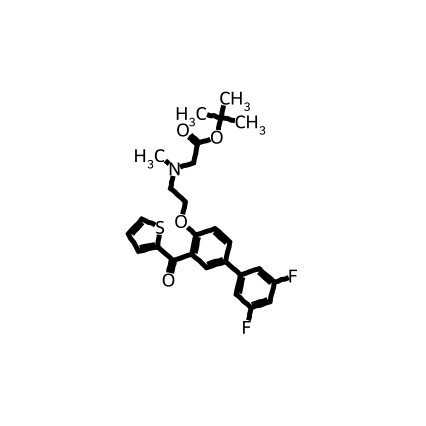 CN(CCOc1ccc(-c2cc(F)cc(F)c2)cc1C(=O)c1cccs1)CC(=O)OC(C)(C)C